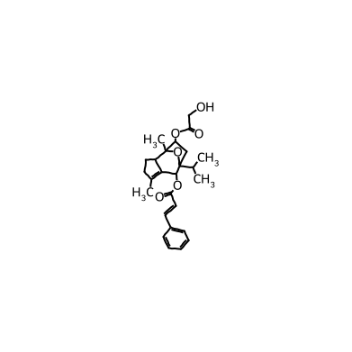 CC1=C2C(CC1)C1(C)OC(C(C)C)(CC1OC(=O)CO)C2OC(=O)/C=C/c1ccccc1